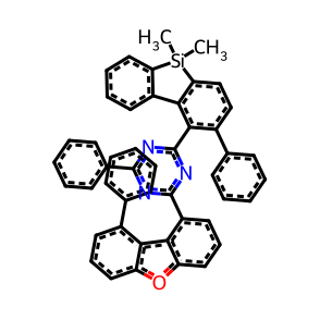 C[Si]1(C)c2ccccc2-c2c1ccc(-c1ccccc1)c2-c1nc(-c2ccccc2)nc(-c2cccc3oc4cccc(-c5ccccc5)c4c23)n1